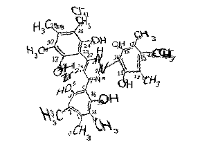 Cc1c(C)c(O)c(C2=NN(c3c(O)c(C)c(C)c(C)c3O)NC(c3c(O)c(C)c(C)c(C)c3O)=[C]2[Zr+2])c(O)c1C.[Cl-].[Cl-]